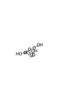 C/C=C/OC.CCOCC.OCCO.OCCOCCOCCOCCO